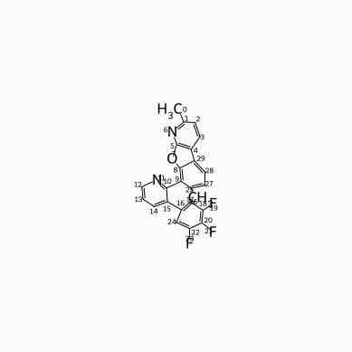 Cc1ccc2c(n1)oc1c(-c3ncccc3-c3cc(F)c(F)c(F)c3)c(C)ccc12